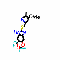 COc1cc(CSc2nc3cc4c(cc3[nH]2)C(F)(F)OC(F)(F)O4)ncc1C